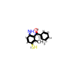 Cc1c(S)ccc(N)c1C(=O)c1ccccc1